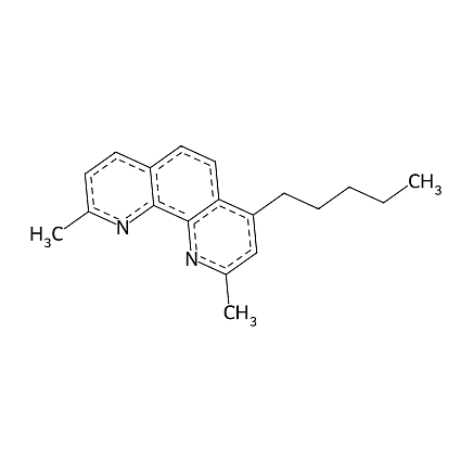 CCCCCc1cc(C)nc2c1ccc1ccc(C)nc12